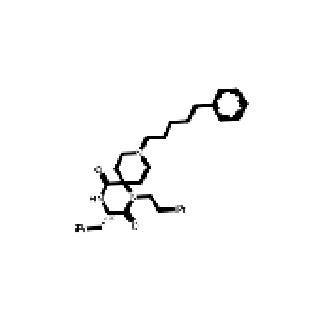 CC(C)CCN1C(=O)[C@H](CC(C)C)NC(=O)C12CCN(CCCCCc1ccccc1)CC2